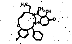 C=C1c2c(O)c(=O)ccn2N2CN1[C@H](CC)/C=C/COc1cc(F)ccc1[C@@H]2c1ccccc1